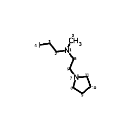 CN(CCI)CCN1CCCC1